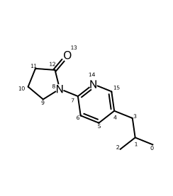 CC(C)Cc1ccc(N2CCCC2=O)nc1